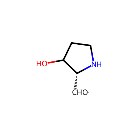 O=[C][C@H]1NCCC1O